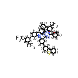 Cc1cc(-c2ccc3c4ccc(-c5cc(C(F)(F)F)cc(C(F)(F)F)c5)cc4n(-c4ccc(-c5ccc6sc7ccccc7c6c5)cc4-c4nc(-c5ccccc5)nc(-c5ccccc5)n4)c3c2)cc(C(F)(F)F)c1